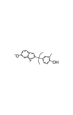 CCC(CC)(c1ccc(O)c(C)c1)c1cc2ccc(OC)cc2s1